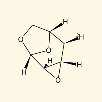 [2H][C@H]1[C@@H]2O[C@@H]2[C@@H]2OC[C@H]1O2